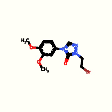 COc1ccc(-n2cnn(CCBr)c2=O)cc1OC